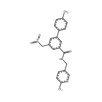 Cc1ccc(-c2cc(C[SH](=O)=O)cc(C(=O)NCc3ccc(C(F)(F)F)nc3)c2)cc1